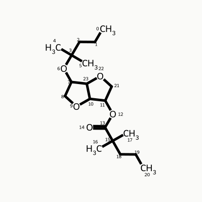 CCCC(C)(C)OC1COC2C(OC(=O)C(C)(C)CCC)COC12